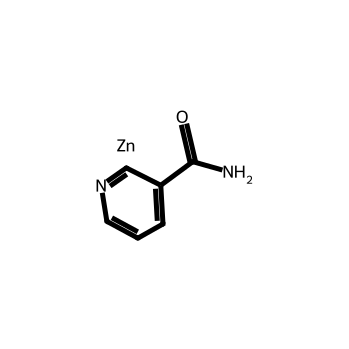 NC(=O)c1cccnc1.[Zn]